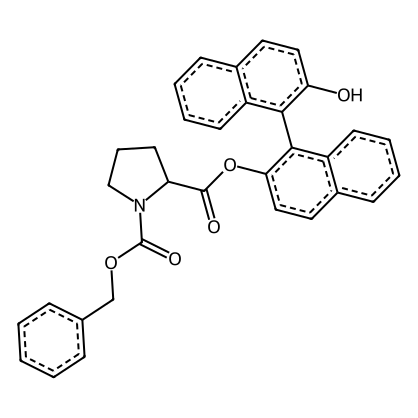 O=C(Oc1ccc2ccccc2c1-c1c(O)ccc2ccccc12)C1CCCN1C(=O)OCc1ccccc1